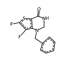 O=C1NCN(Cc2ccccc2)c2c1sc(F)c2F